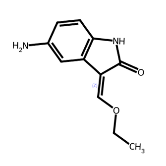 CCO/C=C1\C(=O)Nc2ccc(N)cc21